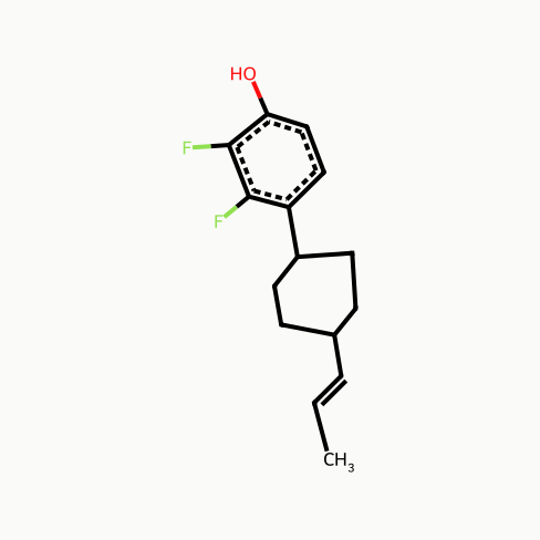 CC=CC1CCC(c2ccc(O)c(F)c2F)CC1